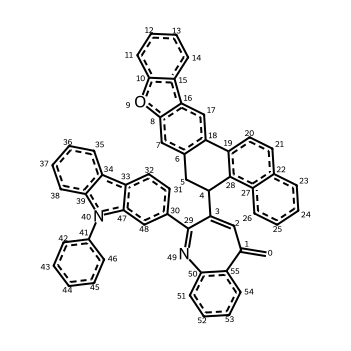 C=C1C=C(C2Cc3cc4oc5ccccc5c4cc3-c3ccc4ccccc4c32)C(c2ccc3c4ccccc4n(-c4ccccc4)c3c2)=Nc2ccccc21